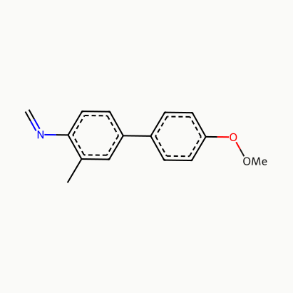 C=Nc1ccc(-c2ccc(OOC)cc2)cc1C